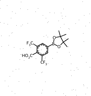 CC1(C)OB(c2cc(C(F)(F)F)c(C(=O)O)c(C(F)(F)F)c2)OC1(C)C